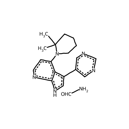 CC1(C)CCCCN1c1ccnc2[nH]cc(-c3cncnc3)c12.NC=O